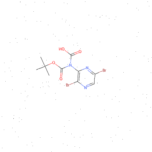 CC(C)(C)OC(=O)N(C(=O)O)c1nc(Br)cnc1Br